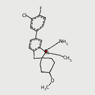 COC1CCC2(CC1)Cc1ccc(-c3ccc(F)c(Cl)c3)cc1C21N=C(N)N(C)S1